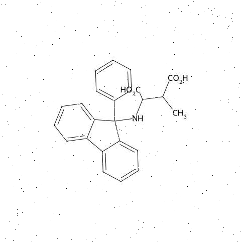 CC(C(=O)O)C(NC1(c2ccccc2)c2ccccc2-c2ccccc21)C(=O)O